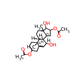 CC(=O)OC1CC[C@@]2(C)C(=CC(O)[C@@H]3[C@H]2CC[C@]2(C)C(O)C(OC(C)=O)C[C@@H]32)C1